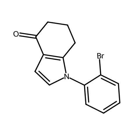 O=C1CCCc2c1ccn2-c1ccccc1Br